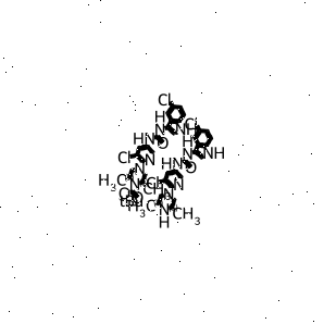 C[C@@H]1CN(c2ncc(NC(=O)Nc3c[nH]c4ccc(Cl)cc34)cc2Cl)C[C@H](C)N1.C[C@@H]1CN(c2ncc(NC(=O)Nc3c[nH]c4ccc(Cl)cc34)cc2Cl)C[C@H](C)N1C(=O)OC(C)(C)C